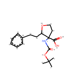 CC(C)(C)OC(=O)NC1(C(=O)O)CCOC1CCc1ccccc1